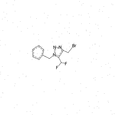 FC(F)c1c(CBr)nnn1Cc1ccccc1